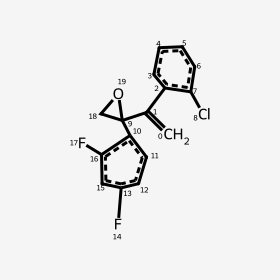 C=C(c1ccccc1Cl)C1(c2ccc(F)cc2F)CO1